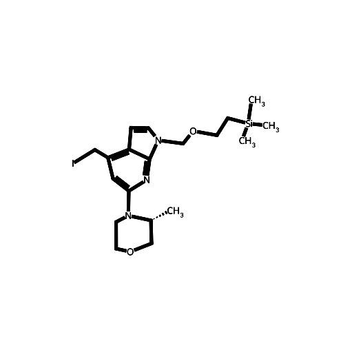 C[C@@H]1COCCN1c1cc(CI)c2ccn(COCC[Si](C)(C)C)c2n1